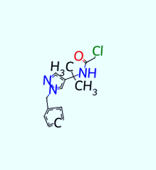 CC(C)(NC(=O)CCl)c1cnn(Cc2ccccc2)c1